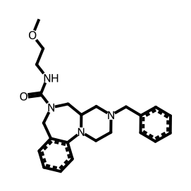 COCCNC(=O)N1Cc2ccccc2N2CCN(Cc3ccccc3)CC2C1